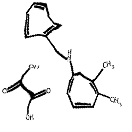 Cc1cccc(NCc2ccccc2)c1C.O=C(O)C(=O)O